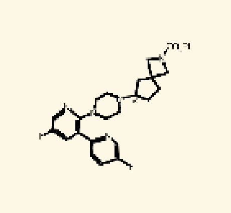 CCOC(=O)N1CC2(CC[C@@H](N3CCN(c4ncc(F)cc4-c4ccc(F)cn4)CC3)C2)C1